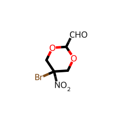 O=CC1OCC(Br)([N+](=O)[O-])CO1